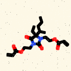 C=CC(=O)OCCN1C(=O)N(CCOC(=O)C=C)C(CC)(C(C)CCC)C1=O